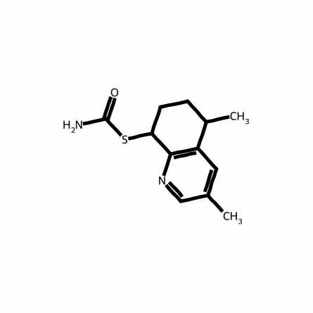 Cc1cnc2c(c1)C(C)CCC2SC(N)=O